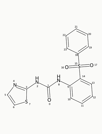 O=C(Nc1nccs1)Nc1ccccc1S(=O)(=O)c1ccccc1